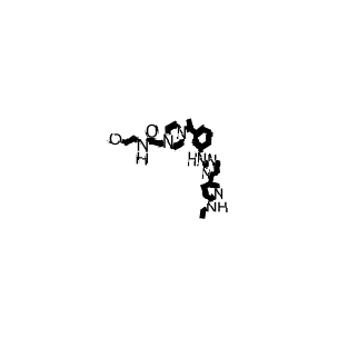 CCNc1ccc(-c2ccnc(Nc3cccc(C(C)N4CCN(CC(=O)NCCOC)CC4)c3)n2)cn1